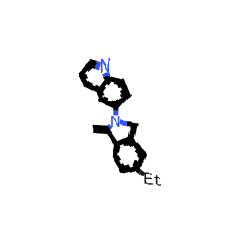 C=C1c2ccc(CC)cc2CN1c1ccc2ncccc2c1